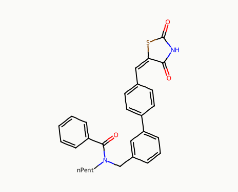 CCCCCN(Cc1cccc(-c2ccc(C=C3SC(=O)NC3=O)cc2)c1)C(=O)c1ccccc1